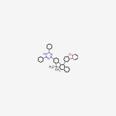 CC1(C)c2cc(C3=NC(c4ccccc4)NC(c4ccccc4)=N3)ccc2-c2c1cc1ccccc1c2-c1ccc2c(c1)C1C=CC=CC1O2